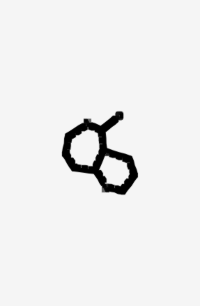 O=c1ncccc2ncccc12